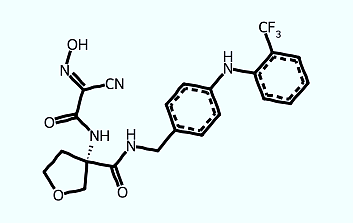 N#C/C(=N\O)C(=O)N[C@@]1(C(=O)NCc2ccc(Nc3ccccc3C(F)(F)F)cc2)CCOC1